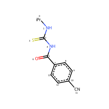 CC(C)NC(=S)NC(=O)c1ccc(C#N)cc1